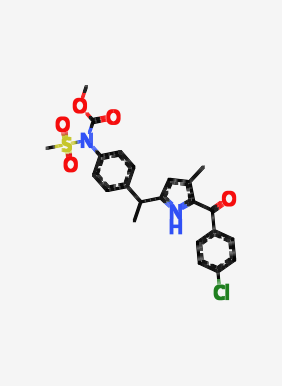 COC(=O)N(c1ccc(C(C)c2cc(C)c(C(=O)c3ccc(Cl)cc3)[nH]2)cc1)S(C)(=O)=O